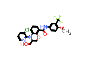 COc1ccc(NC(=O)c2cccc3c2OCC(CO)N3c2ncccc2Cl)cc1C(F)(F)F